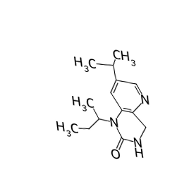 CCC(C)N1C(=O)NCc2ncc(C(C)C)cc21